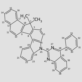 CC1(C)c2ccc3c(c2-c2ccc4ccccc4c21)c1ccccc1n3-c1nc(-c2ccccc2)c2ccccc2n1